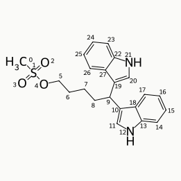 CS(=O)(=O)OCCCCC(c1c[nH]c2ccccc12)c1c[nH]c2ccccc12